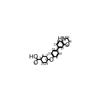 O=C(O)C1CCC(Oc2ccc(-c3ccc4c(c3)OCCN4)cc2)CC1